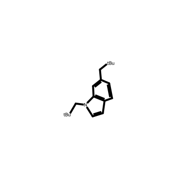 CC(C)(C)Cc1ccc2ccn(CC(C)(C)C)c2c1